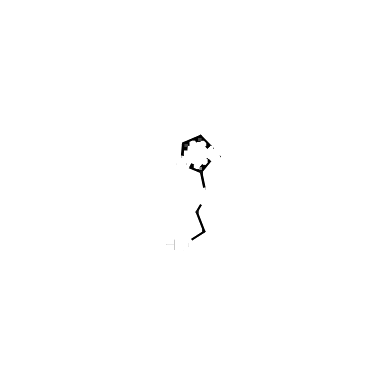 OCCOc1ncco1